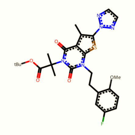 COc1ccc(F)cc1CCn1c(=O)n(C(C)(C)C(=O)OC(C)(C)C)c(=O)c2c(C)c(-n3nccn3)sc21